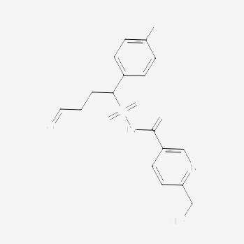 O=CCCC(c1ccc(F)cc1)S(=O)(=O)NC(=O)c1ccc(CO)nc1